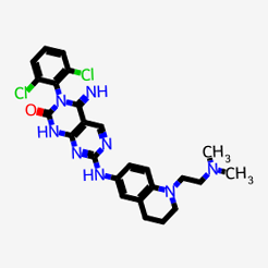 CN(C)CCN1CCCc2cc(Nc3ncc4c(=N)n(-c5c(Cl)cccc5Cl)c(=O)[nH]c4n3)ccc21